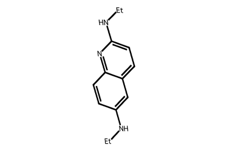 CCNc1ccc2nc(NCC)ccc2c1